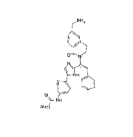 COC(=O)Nc1ccc(-c2cnc([C@H](Cc3ccccc3)N3CCc4cc(CN)ccc4C3=O)[nH]2)cc1